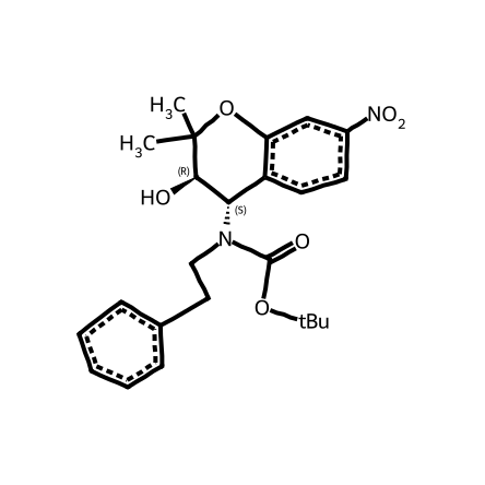 CC(C)(C)OC(=O)N(CCc1ccccc1)[C@H]1c2ccc([N+](=O)[O-])cc2OC(C)(C)[C@@H]1O